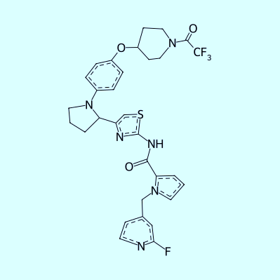 O=C(Nc1nc(C2CCCN2c2ccc(OC3CCN(C(=O)C(F)(F)F)CC3)cc2)cs1)c1cccn1Cc1ccnc(F)c1